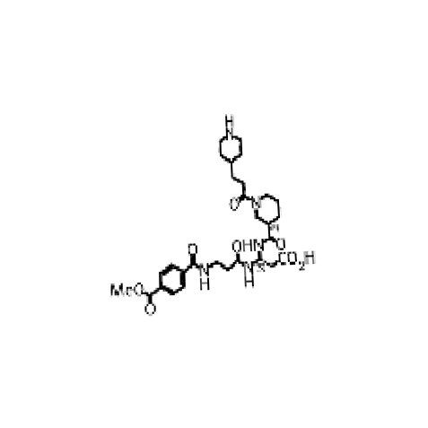 COC(=O)c1ccc(C(=O)NCCC(=O)N[C@H](CC(=O)O)NC(=O)[C@@H]2CCCN(C(=O)CCC3CCNCC3)C2)cc1